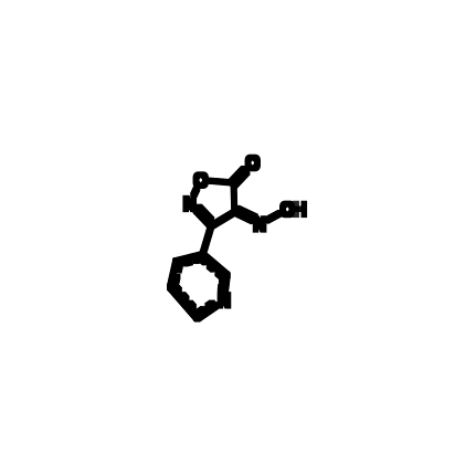 O=C1ON=C(c2cccnc2)C1=NO